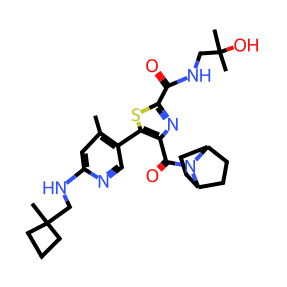 Cc1cc(NCC2(C)CCC2)ncc1-c1sc(C(=O)NCC(C)(C)O)nc1C(=O)N1C2CCC1CC2